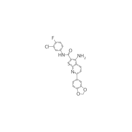 Nc1c(C(=O)Nc2ccc(F)c(Cl)c2)sc2nc(-c3ccc4c(c3)OCO4)ccc12